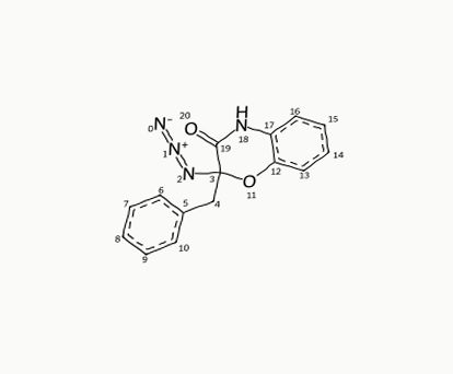 [N-]=[N+]=NC1(Cc2ccccc2)Oc2ccccc2NC1=O